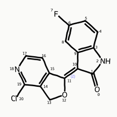 O=C1Nc2ccc(F)cc2/C1=C1/OCc2c1ccnc2Cl